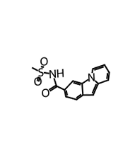 CS(=O)(=O)NC(=O)c1ccc2cc3ccccn3c2c1